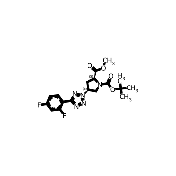 COC(=O)[C@@H]1C[C@H](n2nnc(-c3ccc(F)cc3F)n2)CN1C(=O)OC(C)(C)C